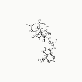 CC(C)OC(=O)[C@H](C)CN[P@@](=O)(CO[C@H](C)Cn1cnc2c(N)ncnc21)N[C@@H](C)C(=O)OC(C)C